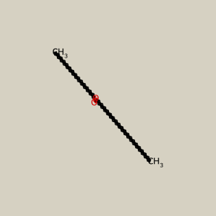 CCCCCCCCCCCCCCCCCCCCCCCCCCCCCCCCCCCCCC(=O)OCCCCCCCCCCCCCCCCCCCCCCCCCCCC